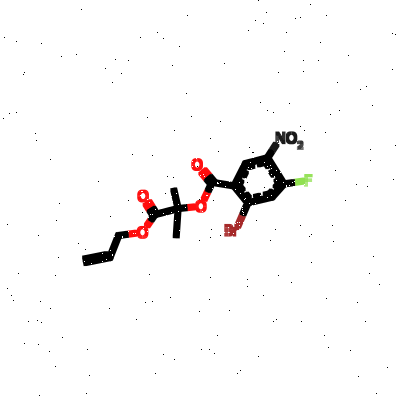 C=CCOC(=O)C(C)(C)OC(=O)c1cc([N+](=O)[O-])c(F)cc1Br